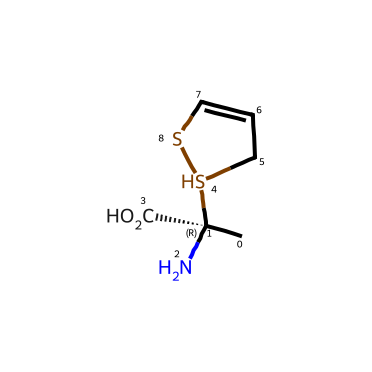 C[C@](N)(C(=O)O)[SH]1CC=CS1